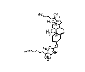 CCCCCCCCCCCCCCC(O)C(O)C(CO)NC(=O)OC1CC[C@@]2(C)C(=CCC3C2CC[C@@]2(C)C3CC[C@@H]2[C@H](C)CCCC(C)C)C1